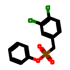 O=S(=O)(Cc1ccc(Cl)c(Cl)c1)Oc1ccccc1